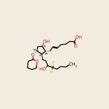 CCCCC(F)(F)C(O)CC[C@@H]1[C@@H](CC=CCCCC(=O)O)[C@H](O)C[C@H]1OC1CCCCO1